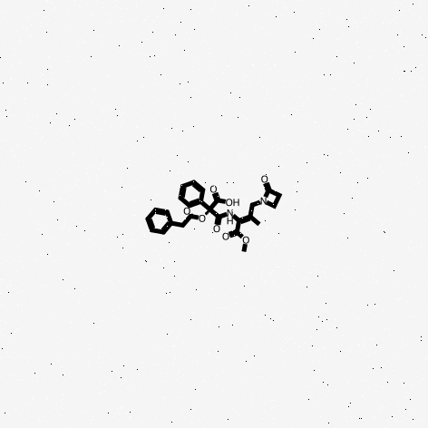 COC(=O)C(NC(=O)[C@@](OC(=O)Cc1ccccc1)(C(=O)O)c1ccccc1)=C(C)CN1CCC1=O